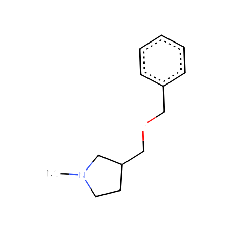 N#CN1CCC(COCc2ccccc2)C1